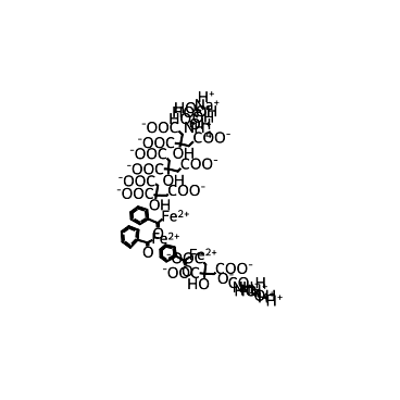 O=C([O-])CC(O)(CC(=O)[O-])C(=O)[O-].O=C([O-])CC(O)(CC(=O)[O-])C(=O)[O-].O=C([O-])CC(O)(CC(=O)[O-])C(=O)[O-].O=C([O-])CC(O)(CC(=O)[O-])C(=O)[O-].O=C([O-])O.O=[C]([Fe+2])c1ccccc1.O=[C]([Fe+2])c1ccccc1.O=[C]([Fe+2])c1ccccc1.OO.OO.OO.OO.[H+].[H+].[H+].[NH4+].[NH4+].[NH4+].[Na+]